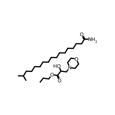 CC(C)CCCCCCCCCCCCCCC(N)=O.CCCOC(=O)C(O)CN1CCOCC1